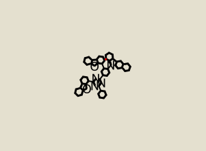 c1ccc(-c2nc(-c3ccc(-n4c5ccccc5c5cc6ccccc6cc54)c(-c4cccc5c4oc4ccccc45)c3)nc(-c3cccc4c3oc3ccccc34)n2)cc1